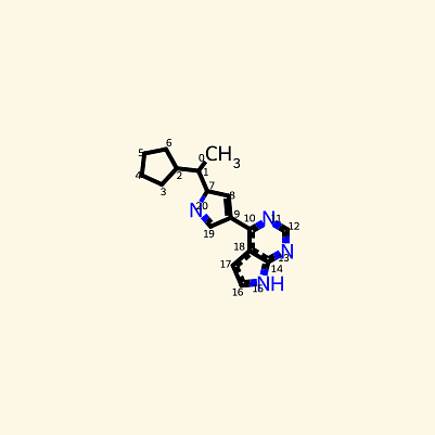 CC(C1CCCC1)C1C=C(c2ncnc3[nH]ccc23)C=N1